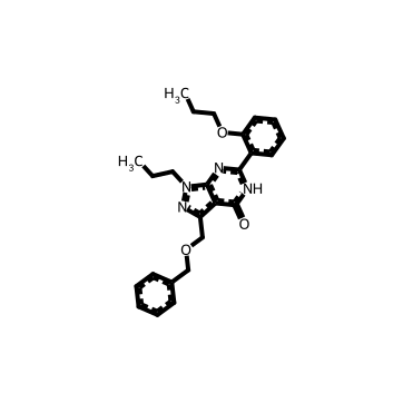 CCCOc1ccccc1-c1nc2c(c(COCc3ccccc3)nn2CCC)c(=O)[nH]1